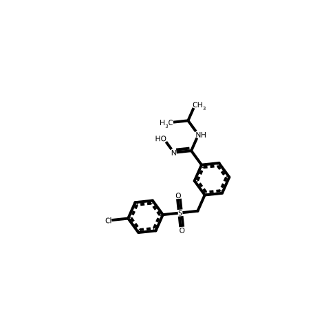 CC(C)N/C(=N\O)c1cccc(CS(=O)(=O)c2ccc(Cl)cc2)c1